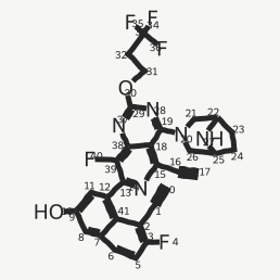 C#Cc1c(F)ccc2cc(O)cc(-c3nc(C#C)c4c(N5CC6CCC(C5)N6)nc(OCCC(F)(F)F)nc4c3F)c12